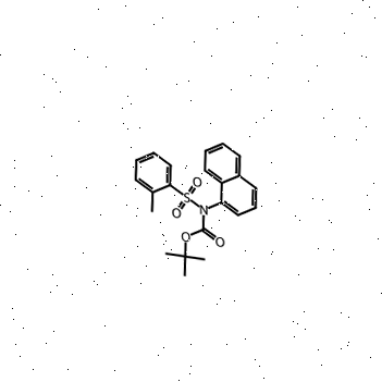 Cc1ccccc1S(=O)(=O)N(C(=O)OC(C)(C)C)c1cccc2ccccc12